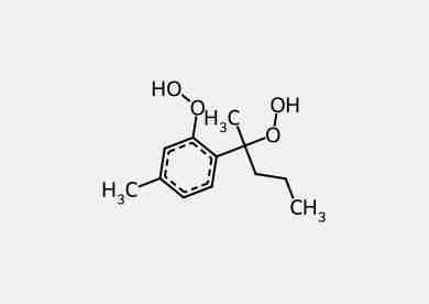 CCCC(C)(OO)c1ccc(C)cc1OO